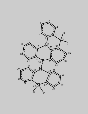 CC1(C)c2ccccc2N2c3ccccc3B(N3c4ccccc4[Si](C)(C)c4ccccc43)c3cccc1c32